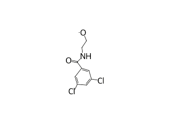 [O]CCNC(=O)c1cc(Cl)cc(Cl)c1